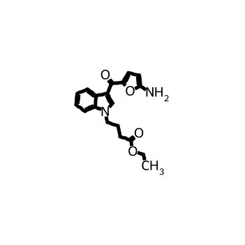 CCOC(=O)CCCn1cc(C(=O)c2ccc(N)o2)c2ccccc21